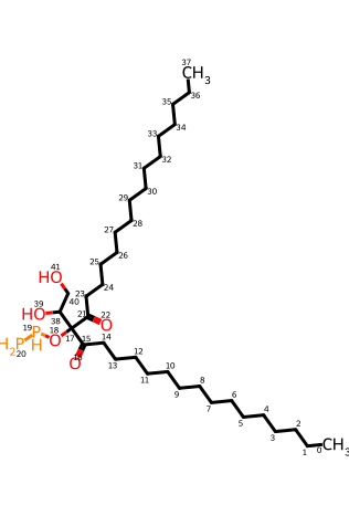 CCCCCCCCCCCCCCCC(=O)C(OPP)(C(=O)CCCCCCCCCCCCCCC)C(O)CO